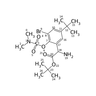 CN(C)S(=O)(=O)Oc1c(Br)cc(C(C)(C)C)cc1C(N)C(=O)OC(C)(C)C